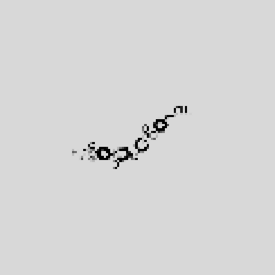 CCCc1ccc(OC(=O)N2CCC(Oc3ccn(-c4ccc(S(C)(=O)=O)cc4)c(=O)c3)CC2)cc1